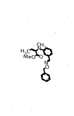 CC=C(C(=O)OC)N(C)c1cccc(C=NOCc2ccccc2)c1